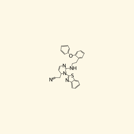 N#CCC1C=CN=C(NCCc2ccccc2Oc2ccccc2)N1c1nc2ccccc2s1